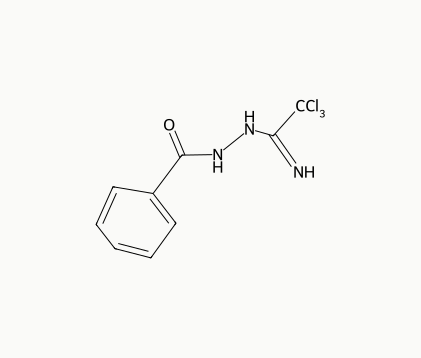 N=C(NNC(=O)c1ccccc1)C(Cl)(Cl)Cl